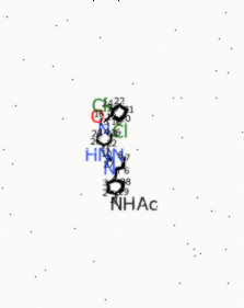 CC(=O)Nc1ccc(-c2ccnc(NC3CCN(C(=O)c4c(Cl)cccc4Cl)CC3)n2)cc1